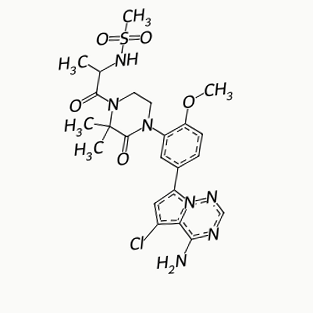 COc1ccc(-c2cc(Cl)c3c(N)ncnn23)cc1N1CCN(C(=O)C(C)NS(C)(=O)=O)C(C)(C)C1=O